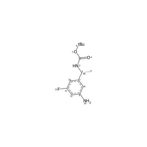 C[C@@H](NC(=O)OC(C)(C)C)c1cc(N)cc(F)c1